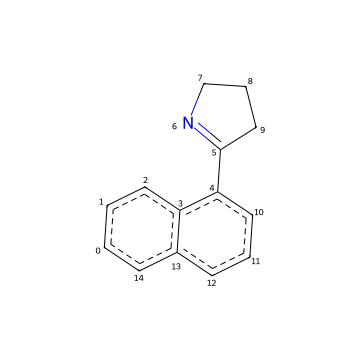 c1ccc2c(C3=NCCC3)cccc2c1